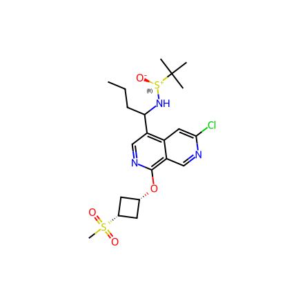 CCCC(N[S@@+]([O-])C(C)(C)C)c1cnc(O[C@H]2C[C@@H](S(C)(=O)=O)C2)c2cnc(Cl)cc12